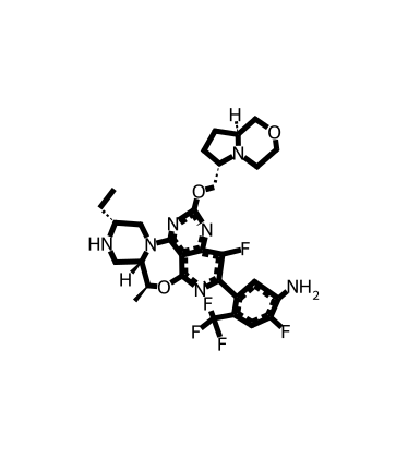 CC[C@@H]1CN2c3nc(OC[C@@H]4CC[C@H]5COCCN54)nc4c(F)c(-c5cc(N)c(F)cc5C(F)(F)F)nc(c34)O[C@@H](C)[C@@H]2CN1